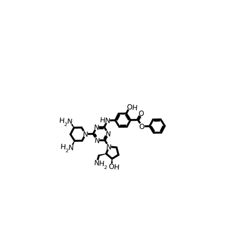 NC[C@@H]1[C@H](O)CCN1c1nc(Nc2ccc(C(=O)Oc3ccccc3)c(O)c2)nc(N2C[C@H](N)C[C@H](N)C2)n1